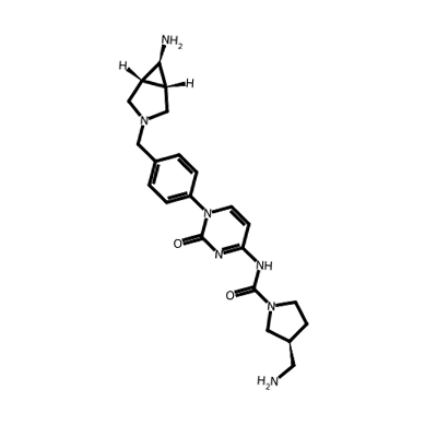 NC[C@@H]1CCN(C(=O)Nc2ccn(-c3ccc(CN4C[C@@H]5[C@@H](N)[C@@H]5C4)cc3)c(=O)n2)C1